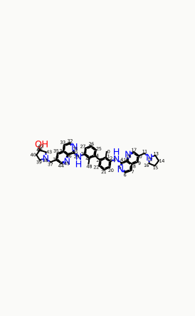 Cc1c(Nc2nccc3cc(CN4CCCC4)cnc23)cccc1-c1cccc(Nc2nccc3cc(CN4CC[C@@H](O)C4)cnc23)c1C